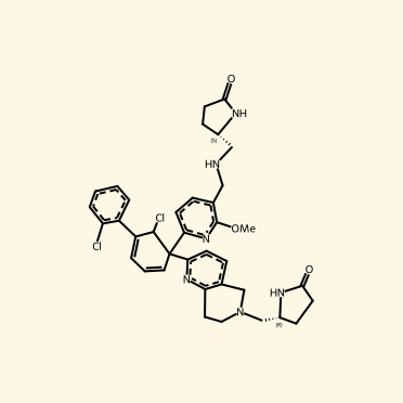 COc1nc(C2(c3ccc4c(n3)CCN(C[C@H]3CCC(=O)N3)C4)C=CC=C(c3ccccc3Cl)C2Cl)ccc1CNC[C@@H]1CCC(=O)N1